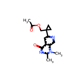 CC(=O)OCC1(c2cc3c(=O)nc(C)n(C)c3cn2)CC1